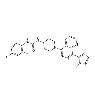 CN(C(=O)Nc1ccc(F)cc1F)C1CCN(c2nnc(-c3ccnn3C)c3ncccc23)CC1